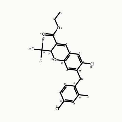 CCOC(=O)C1=Cc2cc(Cl)c(Cc3ccc(Cl)cc3C)cc2OC1C(F)(F)F